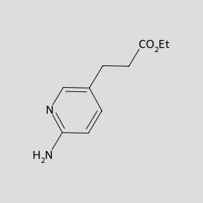 CCOC(=O)CCc1ccc(N)nc1